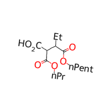 CCCCCOC(=O)C(CC)C(C(=O)O)C(=O)OCCC